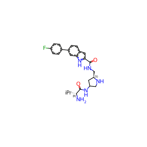 CC(C)[C@@H](N)C(=O)NC1CN[C@H](CNC(=O)c2cc3ccc(-c4ccc(F)cc4)cc3[nH]2)C1